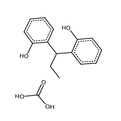 CCC(c1ccccc1O)c1ccccc1O.O=C(O)O